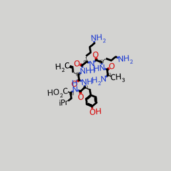 C=CC[C@H](NC(=O)[C@H](CCCCN)NC(=O)[C@H](CCCN)NC(=O)[C@H](C)N)C(=O)N[C@@H](Cc1ccc(O)cc1)C(=O)N[C@@H](CC(C)C)C(=O)O